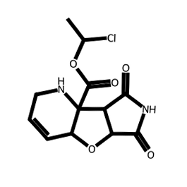 CC(Cl)OC(=O)C12NCC=CC1OC1C(=O)NC(=O)C12